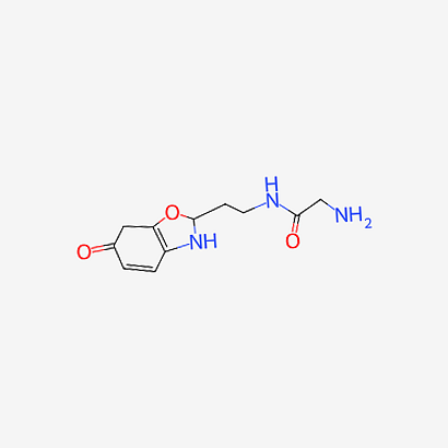 NCC(=O)NCCC1NC2=C(CC(=O)C=C2)O1